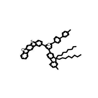 CCCCCCCCC1(CCCCCCCC)c2cc(C)ccc2-c2ccc(-c3cc(-c4ccc(-c5ccc(C)cc5)cc4)cc(-c4ccc5sc6cc7oc8ccccc8c7cc6c5c4)c3)cc21